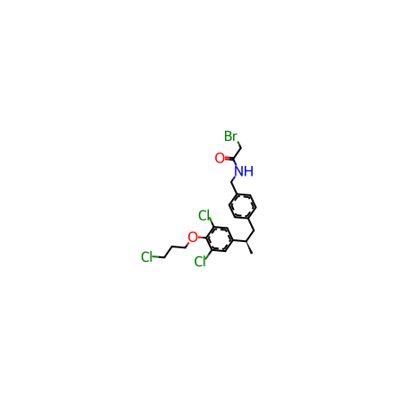 C[C@H](Cc1ccc(CNC(=O)CBr)cc1)c1cc(Cl)c(OCCCCl)c(Cl)c1